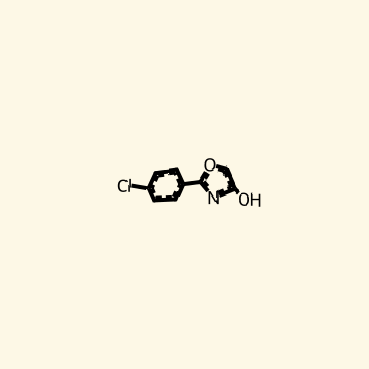 Oc1coc(-c2ccc(Cl)cc2)n1